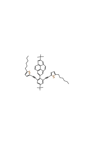 CCCCCCc1ccc(C#Cc2cc(C(C)(C)C)cc(C#Cc3ccc(CCCCCC)s3)c2-c2cc3ccc4cc(C(C)(C)C)cc5ccc(c2)c3c45)s1